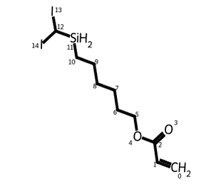 C=CC(=O)OCCCCCC[SiH2]C(I)I